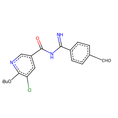 CC(C)COc1ncc(C(=O)NC(=N)c2ccc(C=O)cc2)cc1Cl